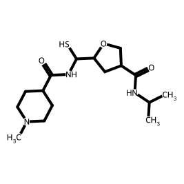 CC(C)NC(=O)C1COC(C(S)NC(=O)C2CCN(C)CC2)C1